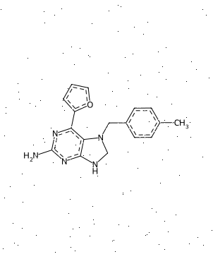 Cc1ccc(CN2CNc3nc(N)nc(-c4ccco4)c32)cc1